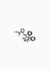 CC(C)(C)[Si](c1ccccc1)(c1ccccc1)N(/C=C/C1CCCN1C(=O)O)[SH](=O)=O